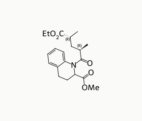 CCOC(=O)[C@H](C)C[C@@H](C)C(=O)N1c2ccccc2CCC1C(=O)OC